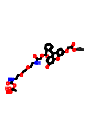 CC(C)(C)OC(=O)COc1ccc2c(-c3ccccc3C(=O)OCC(=O)NCCOCCOCCNC(=O)OC(C)(O)O)c3ccc(=O)cc-3oc2c1